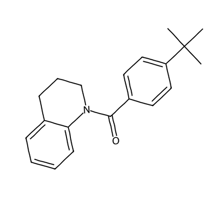 CC(C)(C)c1ccc(C(=O)N2CCCc3ccccc32)cc1